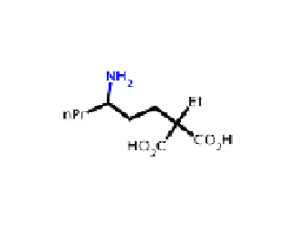 CCCC(N)CCC(CC)(C(=O)O)C(=O)O